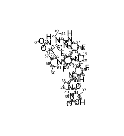 COC(=O)N[C@H](C(=O)N1CCC[C@H]1c1nc2cc([C@H]3CCC(c4cc5nc([C@@H]6CCCN6C(=O)[C@H](C(C)C)N(C)C(=O)O)[nH]c5cc4F)N3c3cc(F)c(N4CC(C)CC(C)C4)c(F)c3)c(F)cc2[nH]1)C(C)C